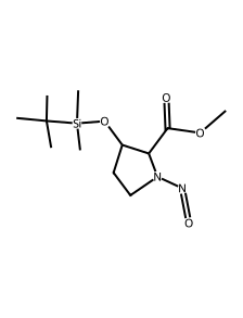 COC(=O)C1C(O[Si](C)(C)C(C)(C)C)CCN1N=O